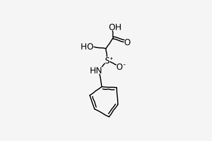 O=C(O)C(O)[S+]([O-])Nc1ccccc1